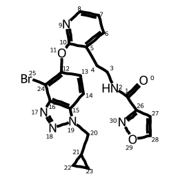 O=C(NCCc1cccnc1Oc1ccc2c(nnn2CC2CC2)c1Br)c1ccon1